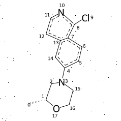 C[C@@H]1CN(c2ccc3c(Cl)nccc3c2)CCO1